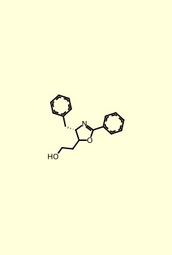 OCCC1OC(c2ccccc2)=N[C@H]1Cc1ccccc1